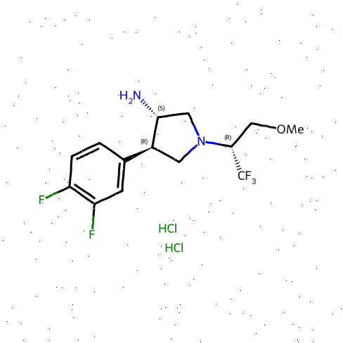 COC[C@@H](N1C[C@@H](N)[C@H](c2ccc(F)c(F)c2)C1)C(F)(F)F.Cl.Cl